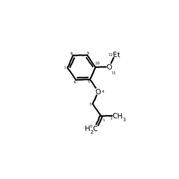 C=C(C)COc1ccccc1OCC